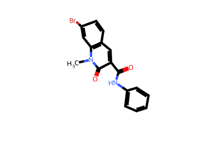 Cn1c(=O)c(C(=O)Nc2ccccc2)cc2ccc(Br)cc21